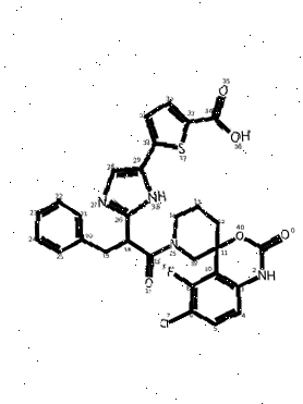 O=C1Nc2ccc(Cl)c(F)c2C2(CCCN(C(=O)C(Cc3ccccc3)c3ncc(-c4ccc(C(=O)O)s4)[nH]3)C2)O1